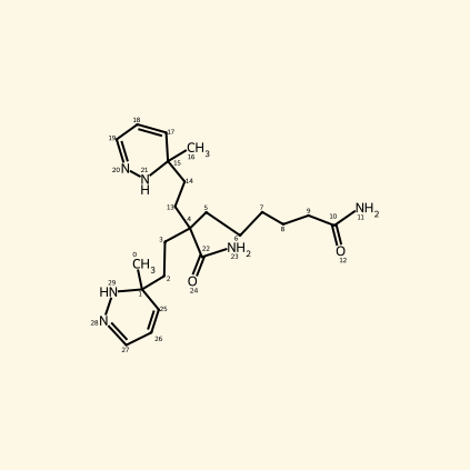 CC1(CCC(CCCCCC(N)=O)(CCC2(C)C=CC=NN2)C(N)=O)C=CC=NN1